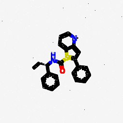 CC[C@H](NC(=O)S1=C(c2ccccc2)C=C2[N]C=CC=C21)c1ccccc1